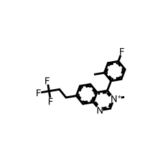 Cc1cc(F)ccc1-c1c2ccc(CCC(F)(F)F)cc2nc[n+]1C